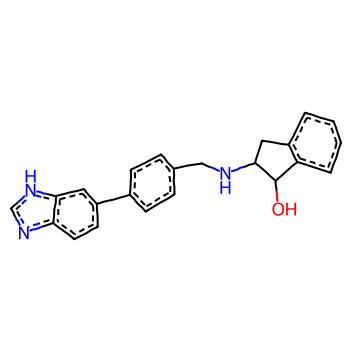 OC1c2ccccc2CC1NCc1ccc(-c2ccc3nc[nH]c3c2)cc1